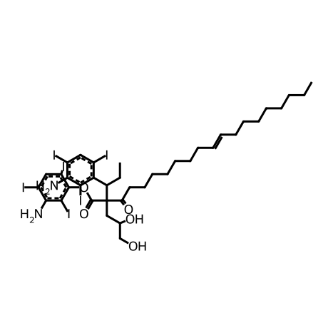 CCCCCCCCC=CCCCCCCCC(=O)C(CC(O)CO)(C(=O)Oc1c(I)cc(I)c(N)c1I)C(CC)c1c(I)cc(I)c(N)c1I